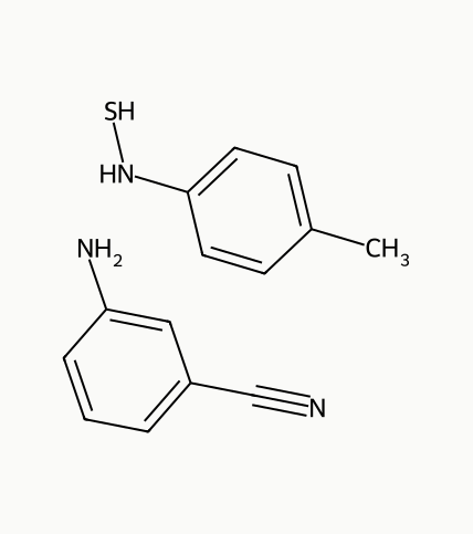 Cc1ccc(NS)cc1.N#Cc1cccc(N)c1